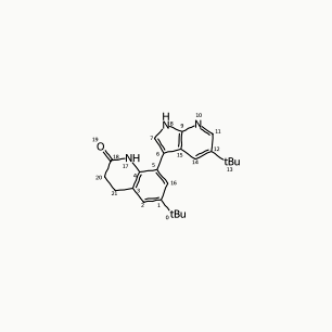 CC(C)(C)c1cc2c(c(-c3c[nH]c4ncc(C(C)(C)C)cc34)c1)NC(=O)CC2